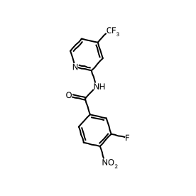 O=C(Nc1cc(C(F)(F)F)ccn1)c1ccc([N+](=O)[O-])c(F)c1